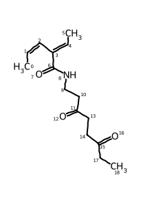 C/C=C\C(=C/C)C(=O)NCCC(=O)CCC(=O)CC